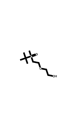 CC(C)(C)P(C)(=O)CCOCCO